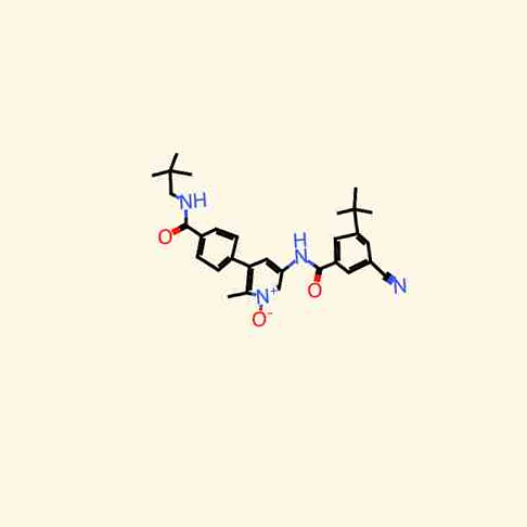 Cc1c(-c2ccc(C(=O)NCC(C)(C)C)cc2)cc(NC(=O)c2cc(C#N)cc(C(C)(C)C)c2)c[n+]1[O-]